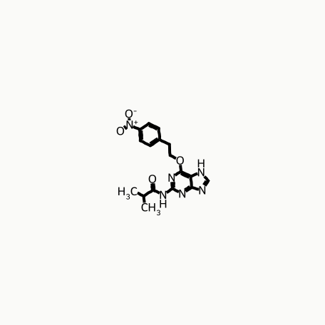 CC(C)C(=O)Nc1nc(OCCc2ccc([N+](=O)[O-])cc2)c2[nH]cnc2n1